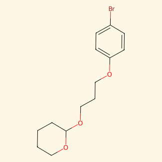 Brc1ccc(OCCCOC2CCCCO2)cc1